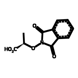 C[C@H](ON1C(=O)c2ccccc2C1=O)C(=O)O